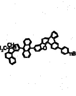 CCCCc1ccc(-c2ccc3c(c2)c2ccccc2c2ccc4c5cc(-c6c7ccccc7c(-c7ccc8c(c7)-c7c(ccc9ccccc79)C8(C)C)c7ccccc67)ccc5oc4c23)cc1